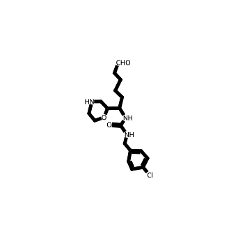 O=CCCCCC(NC(=O)NCc1ccc(Cl)cc1)C1CNCCO1